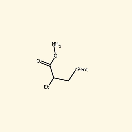 CCCCCCC(CC)C(=O)ON